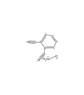 N#Cc1ccccc1C#N.[Cl][GaH2]